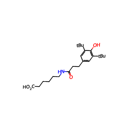 CC(C)(C)c1cc(CCC(=O)NCCCCCC(=O)O)cc(C(C)(C)C)c1O